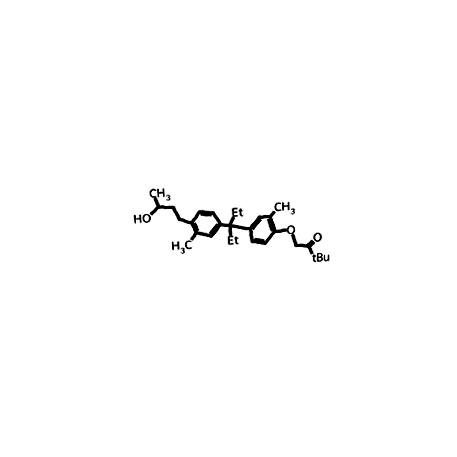 CCC(CC)(c1ccc(CCC(C)O)c(C)c1)c1ccc(OCC(=O)C(C)(C)C)c(C)c1